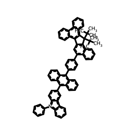 CC(C)(C)C1(C(C)(C)C)c2c(cc(-c3ccc(-c4c5ccccc5c(-c5ccc6c(c5)c5ccccc5n6-c5ccccc5)c5ccccc45)cc3)c3ccccc23)-c2c1c1ccccc1c1ccccc21